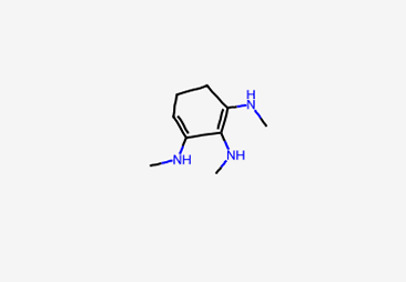 CNC1=CCCC(NC)=C1NC